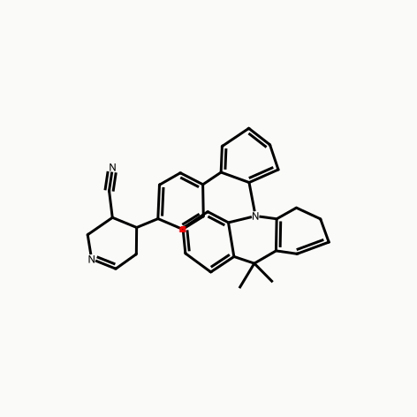 CC1(C)C2=C(CCC=C2)N(c2ccccc2-c2ccc(C3CC=NCC3C#N)cc2)c2ccccc21